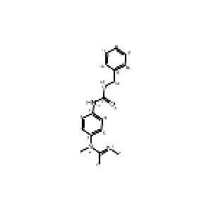 CN=C(C)N(C)c1ccc(NC(=O)OCc2ccccc2)cc1